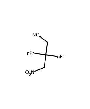 CCCC(CC#N)(CCC)C[N+](=O)[O-]